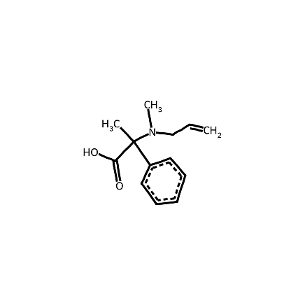 C=CCN(C)C(C)(C(=O)O)c1ccccc1